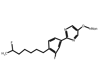 CCCCCCCCCOc1cnc(-c2ccc(CCCCCC(C)F)c(F)c2)nc1